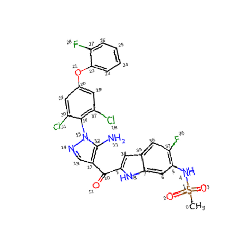 CS(=O)(=O)Nc1cc2[nH]c(C(=O)c3cnn(-c4c(Cl)cc(Oc5ccccc5F)cc4Cl)c3N)cc2cc1F